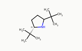 CC(C)(C)C1CC[C@@H](C(C)(C)C)N1